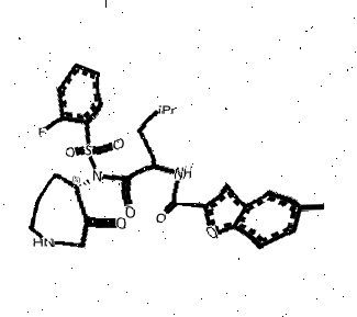 Cc1ccc2oc(C(=O)NC(CC(C)C)C(=O)N([C@H]3CCCNCC3=O)S(=O)(=O)c3ccccc3F)cc2c1